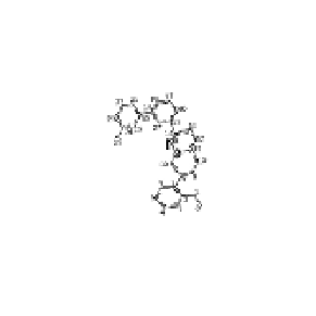 CCc1ccccc1-c1ccc2ccc(-c3cccc(-c4cccc(C)c4)c3)nc2c1